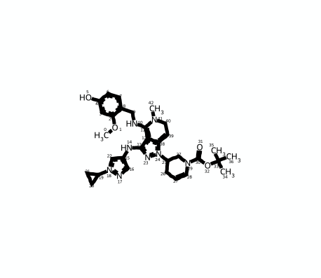 COc1cc(O)ccc1CNC1=c2c(Nc3cnn(C4CC4)c3)nn(C3CC=CN(C(=O)OC(C)(C)C)C3)c2=CCN1C